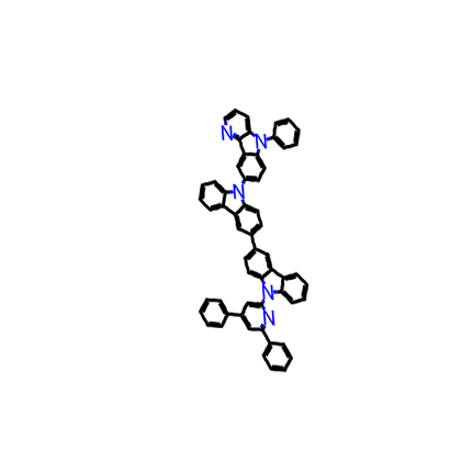 c1ccc(-c2cc(-c3ccccc3)nc(-n3c4ccccc4c4cc(-c5ccc6c(c5)c5ccccc5n6-c5ccc6c(c5)c5ncccc5n6-c5ccccc5)ccc43)c2)cc1